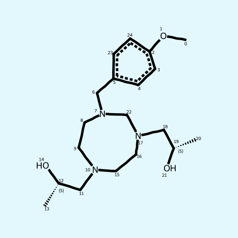 COc1ccc(CN2CCN(C[C@H](C)O)CCN(C[C@H](C)O)C2)cc1